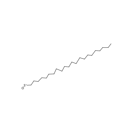 CCCCCCCCCCCCCCCCCCCCCC[S+]=O